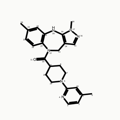 Cc1ccnc(N2CCC(C(=O)N3Cc4cnn(C)c4Nc4cc(C)ccc43)CC2)c1